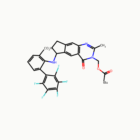 Cc1nc2cc3c(cc2c(=O)n1COC(=O)C(C)(C)C)C(Nc1c(C(=O)O)cccc1-c1c(F)c(F)c(F)c(F)c1F)CC3